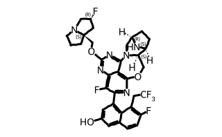 Oc1cc(-c2nc3c4c(nc(OC[C@@]56CCCN5C[C@H](F)C6)nc4c2F)N2C[C@H]4CC[C@H](N4)[C@H]2CO3)c2c(CC(F)(F)F)c(F)ccc2c1